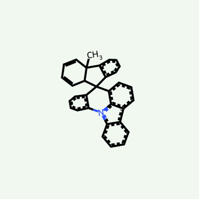 CC12C=CC=CC1C1(c3ccccc3-n3c4ccccc4c4cccc1c43)c1ccccc12